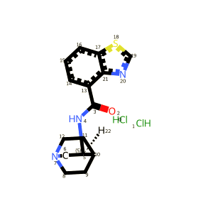 Cl.Cl.O=C(N[C@@H]1CN2CCC1CC2)c1cccc2scnc12